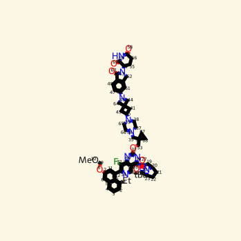 CCc1cccc2cc(OCOC)cc(-c3ncc4c(N5CC6CCC(C5)N6C(=O)OC(C)(C)C)nc(OCC5(CN6CCN(C7CC8(C7)CN(c7ccc9c(c7)CN(C7CCC(=O)NC7=O)C9=O)C8)CC6)CC5)nc4c3F)c12